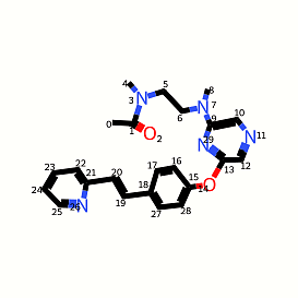 CC(=O)N(C)CCN(C)c1cncc(Oc2ccc(C=Cc3ccccn3)cc2)n1